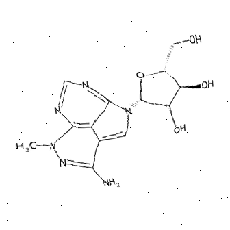 CN1N=C(N)c2cn([C@@H]3O[C@H](CO)[C@@H](O)C3O)c3ncnc1c23